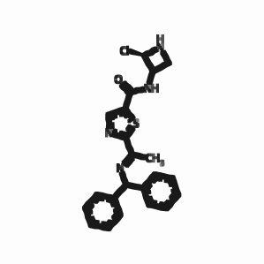 C/C(=N\C(c1ccccc1)c1ccccc1)c1ncc(C(=O)NC2CN[C@@H]2Cl)s1